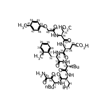 CCCC[C@H](NC(=O)[C@H](CC(C)C)NC(=O)[C@@H](NC(=O)[C@H](Cc1ccccc1C)NC(=O)[C@H](CCC(=O)O)NC(=O)[C@H](CC(=O)O)NC(=O)COc1ccc(C)cc1)C(C)(C)C)C(=O)C(N)=O